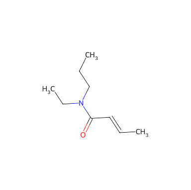 CC=CC(=O)N(CC)CCC